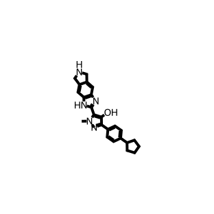 Cn1nc(-c2ccc(C3CCCC3)cc2)c(O)c1-c1nc2cc3c(cc2[nH]1)CNC3